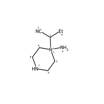 CCC(C#N)[N+]1(N)CCNCC1